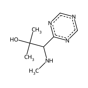 CNC(c1ncncn1)C(C)(C)O